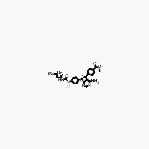 CN(C)C(=O)c1ccc(-c2nn(-c3ccc(NC(=O)Nc4cc(C(C)(C)C)on4)cc3)c3ncnc(N)c23)cc1